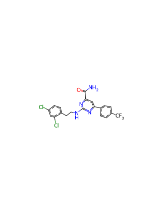 NC(=O)c1cc(-c2ccc(C(F)(F)F)cc2)nc(NCCc2ccc(Cl)cc2Cl)n1